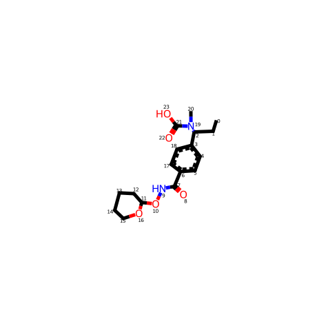 CCC(c1ccc(C(=O)NOC2CCCCO2)cc1)N(C)C(=O)O